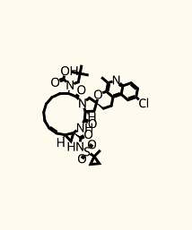 Cc1nc2ccc(Cl)cc2c2c1O[C@]1(CC2)C[C@H]2C(=O)N[C@]3(C(=O)NS(=O)(=O)C4(C)CC4)C[C@H]3/C=C\CCCCC[C@H](N(CC(C)(C)C)C(=O)O)C(=O)N2C1